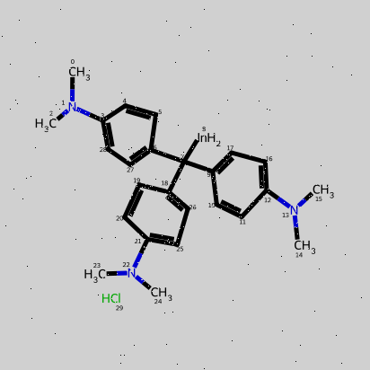 CN(C)c1ccc([C]([InH2])(c2ccc(N(C)C)cc2)c2ccc(N(C)C)cc2)cc1.Cl